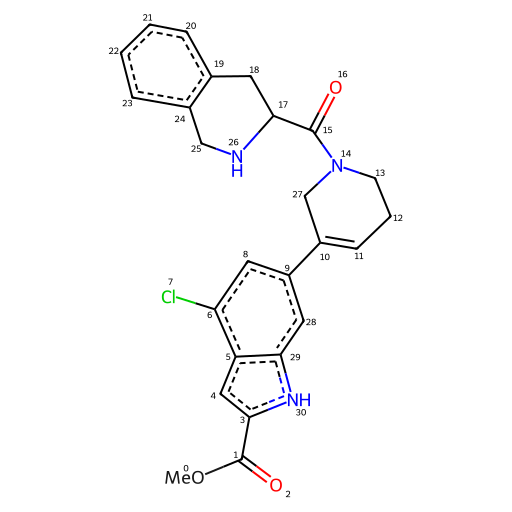 COC(=O)c1cc2c(Cl)cc(C3=CCCN(C(=O)C4Cc5ccccc5CN4)C3)cc2[nH]1